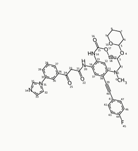 CN(CCOC1CCCCO1)c1cc(NC(=O)OC(C)(C)C)c(NC(=O)CC(=O)c2cccc(-n3ccnc3)c2)cc1C#Cc1ccc(F)cc1